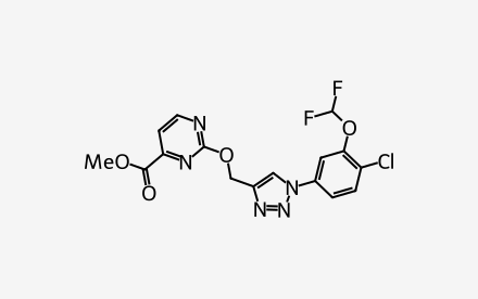 COC(=O)c1ccnc(OCc2cn(-c3ccc(Cl)c(OC(F)F)c3)nn2)n1